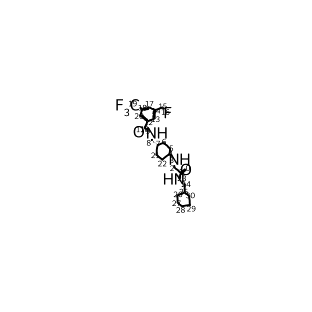 O=C(CN[C@H]1CC[C@@H](CNC(=O)c2cc(CF)cc(C(F)(F)F)c2)CC1)NCC1CCCCC1